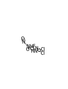 O=C(NCCCN1CCOCC1)c1ccc(-c2nc3cc(Cl)c(Cl)cc3[nH]2)c(F)c1